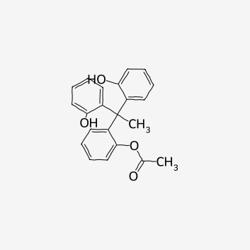 CC(=O)Oc1ccccc1C(C)(c1ccccc1O)c1ccccc1O